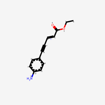 CCOC(=O)/C=C/C#Cc1ccc(N)cc1